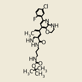 C/C=C(\C=C(/C=N)C(=O)NCCCNC(=O)OC(C)(C)C)c1cc(-c2cc(Cl)ccc2F)nc2c1OCCN2